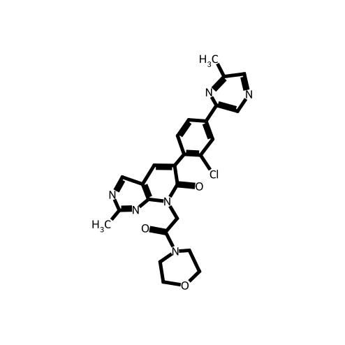 Cc1cncc(-c2ccc(-c3cc4cnc(C)nc4n(CC(=O)N4CCOCC4)c3=O)c(Cl)c2)n1